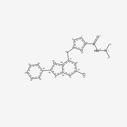 CN(C)NC(=O)c1ccc(Cc2cc(Cl)cc3cc(-c4ccccc4)oc23)o1